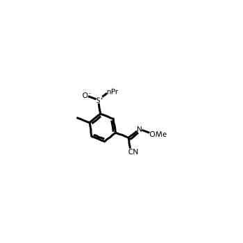 CCC[S+]([O-])c1cc(/C(C#N)=N/OC)ccc1C